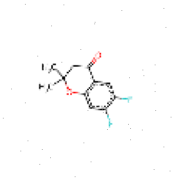 CC1(C)CC(=O)c2cc(F)c(F)cc2O1